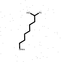 CCCCCCCCCCCCC(O)C(C)=O